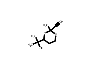 C#CC1(C)SCCC(C(C)(C)C)S1